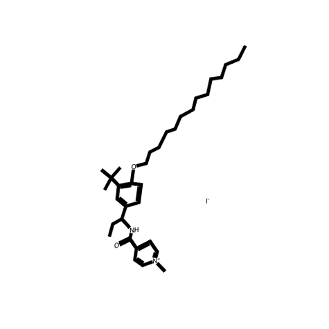 CCCCCCCCCCCCCCOc1ccc(C(CC)NC(=O)c2cc[n+](C)cc2)cc1C(C)(C)C.[I-]